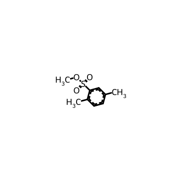 COS(=O)(=O)c1cc(C)ccc1C